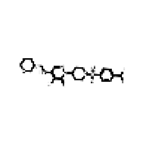 O=c1c(Cl)c(NC[C@@H]2CCCOC2)cnn1C1CCN(S(=O)(=O)c2ccc(C(F)F)cc2)CC1